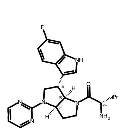 CC(C)[C@H](N)C(=O)N1CC[C@@H]2[C@H]1[C@@H](c1c[nH]c3cc(F)ccc13)CN2c1ncccn1